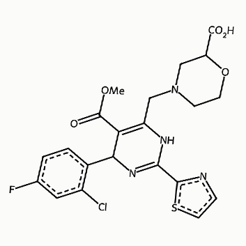 COC(=O)C1=C(CN2CCOC(C(=O)O)C2)NC(c2nccs2)=NC1c1ccc(F)cc1Cl